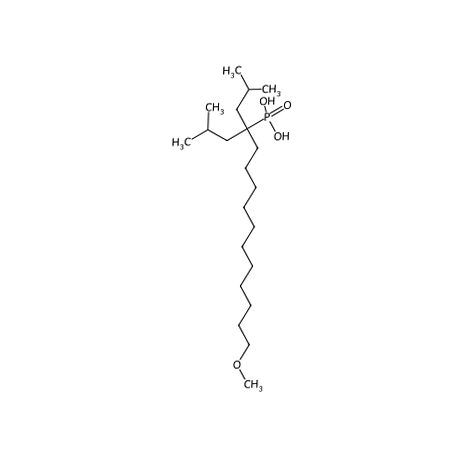 COCCCCCCCCCCCC(CC(C)C)(CC(C)C)P(=O)(O)O